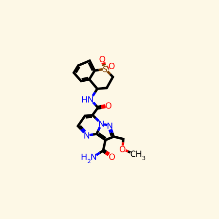 COCc1nn2c(C(=O)NC3CCS(=O)(=O)c4ccccc43)ccnc2c1C(N)=O